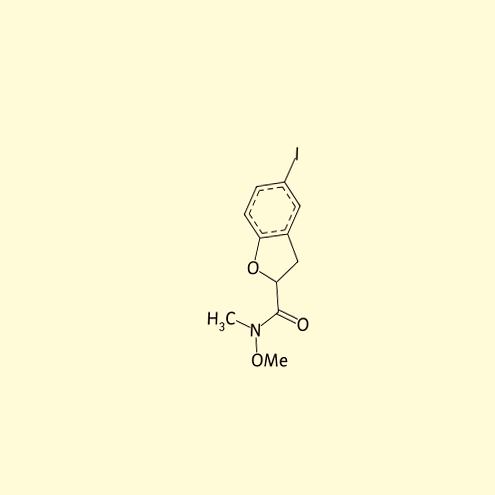 CON(C)C(=O)C1Cc2cc(I)ccc2O1